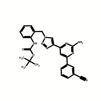 CC(C)(C)OC(=O)Nc1ccccc1Cn1cc(-c2cc(-c3cccc(C#N)c3)nc(N)n2)nn1